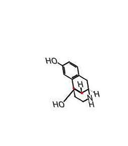 Oc1ccc2c(c1)[C@]13CCN[C@H](C2)[C@@H]1CCC(O)C3